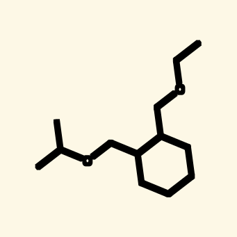 CCOCC1CCCCC1COC(C)C